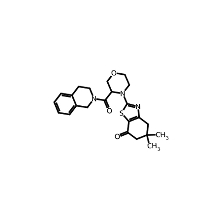 CC1(C)CC(=O)c2sc(N3CCOCC3C(=O)N3CCc4ccccc4C3)nc2C1